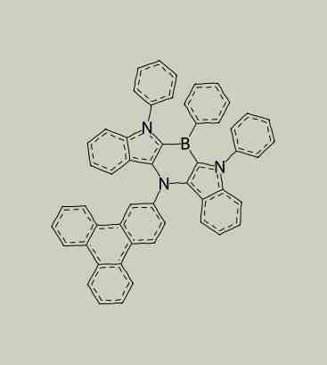 c1ccc(B2c3c(c4ccccc4n3-c3ccccc3)N(c3ccc4c5ccccc5c5ccccc5c4c3)c3c2n(-c2ccccc2)c2ccccc32)cc1